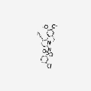 COc1cc2c(cc1OC)C1=C(C#N)CC/C(=N\S(=O)(=O)c3cccc(Cl)c3)N1CC2